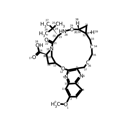 COc1ccc2nc3c(nc2c1)OC1C[C@@H](C(=O)O)N(C1)C(=O)[C@H](C(C)(C)C)NO[C@@H]1C[C@H]1CCCCC3